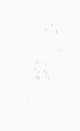 Cc1nnc([C@H]2CCCN2C(=O)CC2CCOc3cc(C(F)(F)F)ccc32)n1Cc1ccc(Cl)cc1